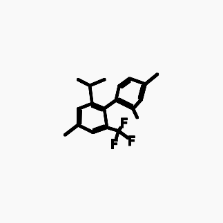 Cc1ccc(-c2c(C(C)C)cc(C)cc2C(F)(F)F)c(C)c1